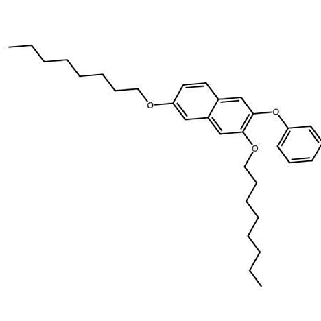 CCCCCCCCOc1ccc2cc(Oc3ccccc3)c(OCCCCCCCC)cc2c1